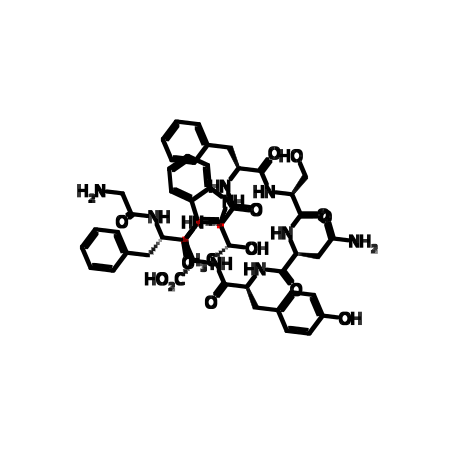 C[C@@H](O)[C@H](NC(=O)[C@H](Cc1ccccc1)NC(=O)CN)C(=O)N[C@@H](Cc1ccccc1)C(=O)N[C@@H](CO)C(=O)N[C@@H](CC(N)=O)C(=O)N[C@@H](Cc1ccc(O)cc1)C(=O)N[C@@H](Cc1c[nH]c2ccccc12)C(=O)O